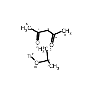 CC(=O)CC(C)=O.CC(C)[O][Ti]